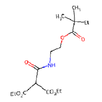 CCOC(=O)C(C(=O)NCCOC(=O)C(C)(C)CC)C(=O)OCC